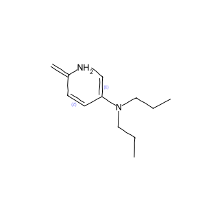 C=C(N)/C=C\C(=C/C)N(CCC)CCC